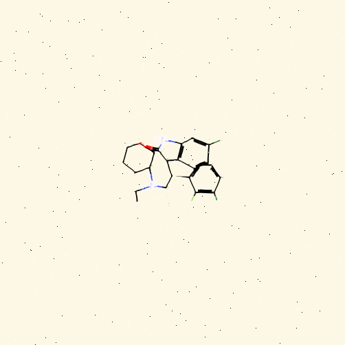 CCN1[C@@H](C)[C@H](c2cccc(Cl)c2F)[C@]2(C(=O)Nc3cc(Cl)ccc32)C12CCCCC2